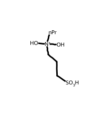 CCC[N+](O)(O)CCCS(=O)(=O)O